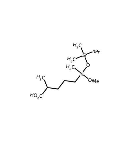 CCC[Si](C)(C)O[Si](C)(CCCC(C)C(=O)O)OC